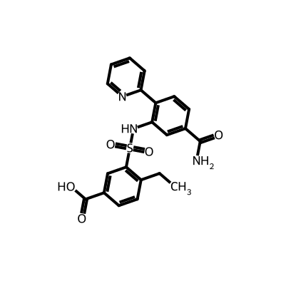 CCc1ccc(C(=O)O)cc1S(=O)(=O)Nc1cc(C(N)=O)ccc1-c1ccccn1